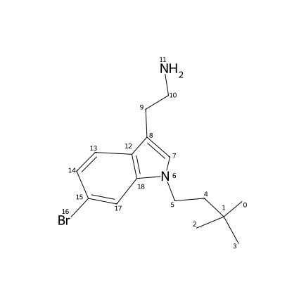 CC(C)(C)CCn1cc(CCN)c2ccc(Br)cc21